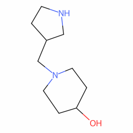 OC1CCN(CC2CCNC2)CC1